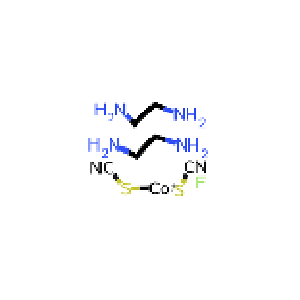 N#C[S][Co+][S]C#N.NCCN.NCCN.[F-]